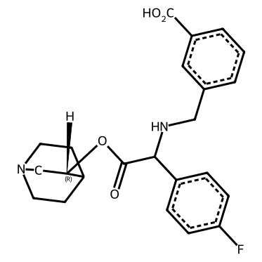 O=C(O)c1cccc(CNC(C(=O)O[C@H]2CN3CCC2CC3)c2ccc(F)cc2)c1